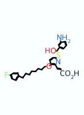 Nc1cccc(C(O)Sc2ccc(OCCCCCCCCc3ccc(F)cc3)c(C=CC(=O)O)n2)c1